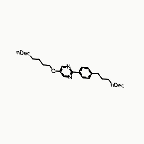 CCCCCCCCCCCCCCOc1cnc(-c2ccc(CCCCCCCCCCCCC)cc2)nc1